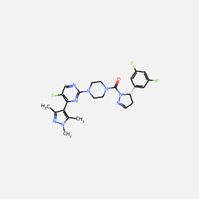 Cc1nn(C)c(C)c1-c1nc(N2CCN(C(=O)N3N=CC[C@H]3c3cc(F)cc(F)c3)CC2)ncc1F